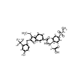 CCc1c(Cc2ccc(Cl)cc2C(F)(F)F)oc2cc(C(=O)N[C@@H](CC(=O)O)c3ccc(S(=O)(=O)CC)cc3)ccc12